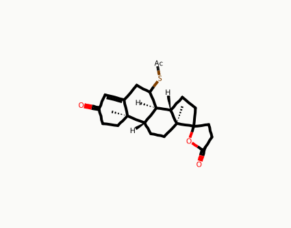 CC(=O)SC1CC2=CC(=O)CC[C@]2(C)[C@H]2CC[C@@]3(C)[C@@H](CCC34CCC(=O)O4)[C@H]12